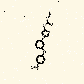 CCOC(=O)Oc1cn(-c2cccc(Oc3ccc([N+](=O)[O-])cc3)c2)cn1